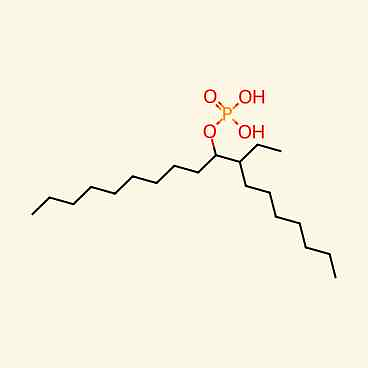 CCCCCCCCCC(OP(=O)(O)O)C(CC)CCCCCCC